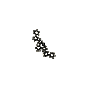 c1ccc(-c2cccc(-c3ccc4c(c3)-c3ccccc3-c3cc(-c5cccc(-c6ccccc6)c5)ccc3O4)c2)cc1